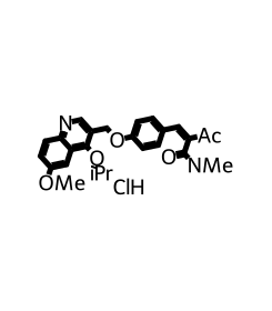 CNC(=O)C(=Cc1ccc(OCc2cnc3ccc(OC)cc3c2OC(C)C)cc1)C(C)=O.Cl